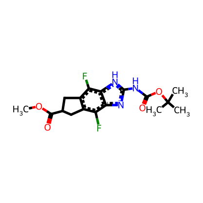 COC(=O)C1Cc2c(c(F)c3[nH]c(NC(=O)OC(C)(C)C)nc3c2F)C1